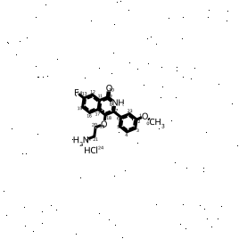 COc1cccc(-c2[nH]c(=O)c3cc(F)ccc3c2OCCN)c1.Cl